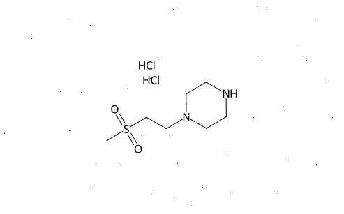 CS(=O)(=O)CCN1CCNCC1.Cl.Cl